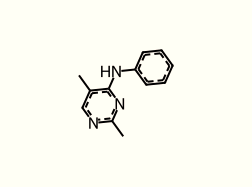 Cc1ncc(C)c(Nc2ccccc2)n1